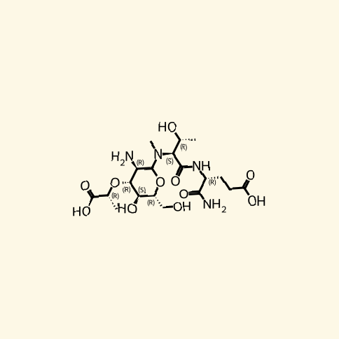 C[C@@H](O[C@H]1[C@H](O)[C@@H](CO)OC(N(C)[C@H](C(=O)N[C@H](CCC(=O)O)C(N)=O)[C@@H](C)O)[C@@H]1N)C(=O)O